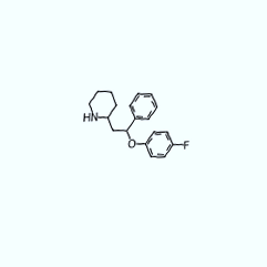 Fc1ccc(OC(CC2CCCCN2)c2ccccc2)cc1